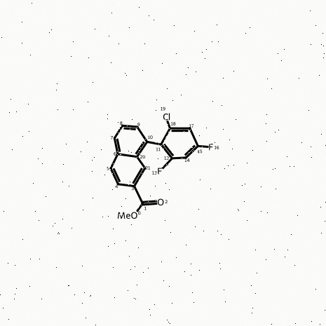 COC(=O)c1ccc2cccc(-c3c(F)cc(F)cc3Cl)c2c1